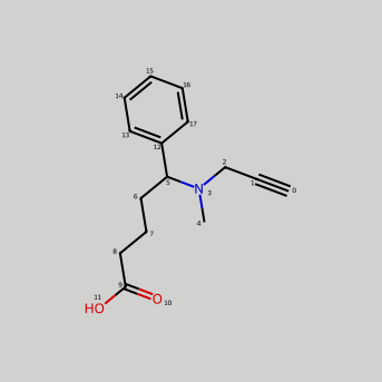 C#CCN(C)C(CCCC(=O)O)c1ccccc1